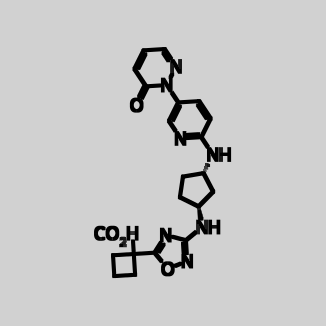 O=C(O)C1(c2nc(N[C@H]3CC[C@H](Nc4ccc(-n5ncccc5=O)cn4)C3)no2)CCC1